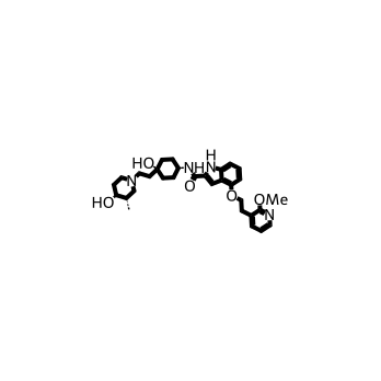 COc1ncccc1CCOc1cccc2[nH]c(C(=O)N[C@H]3CC[C@](O)(CCN4CC[C@H](O)[C@@H](C)C4)CC3)cc12